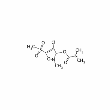 CN(C)C(=O)OC1C(Cl)=C(S(C)(=O)=O)ON1C